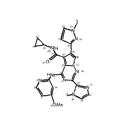 COc1ccnc(Nc2nc(-c3nccn3C)nn3cc(-c4ccn(C)n4)c(C(=O)NC4CC4)c23)c1